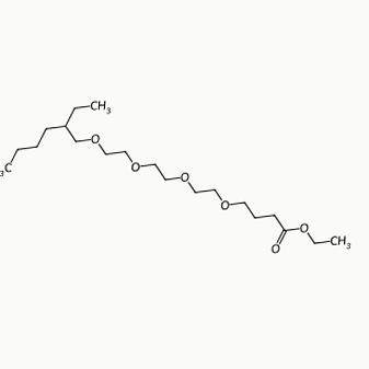 CCCCC(CC)COCCOCCOCCOCCCC(=O)OCC